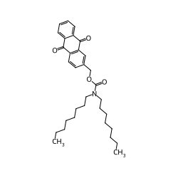 CCCCCCCCN(CCCCCCCC)C(=O)OCc1ccc2c(c1)C(=O)c1ccccc1C2=O